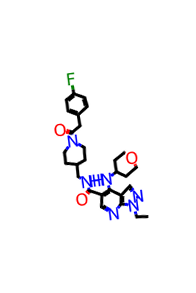 CCn1ncc2c(NC3CCOCC3)c(C(=O)NCC3CCN(C(=O)Cc4ccc(F)cc4)CC3)cnc21